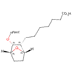 CCCCCO[C@@H]1[C@H](CCCCCCC(=O)O)[C@@H]2CC[C@H]1O2